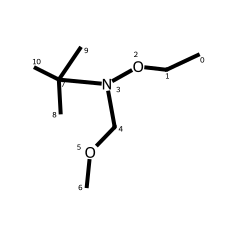 CCON(COC)C(C)(C)C